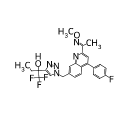 CCC(O)(c1cn(Cc2ccc3c(-c4ccc(F)cc4)cc(C(C)=NOC)nc3c2)nn1)C(F)(F)F